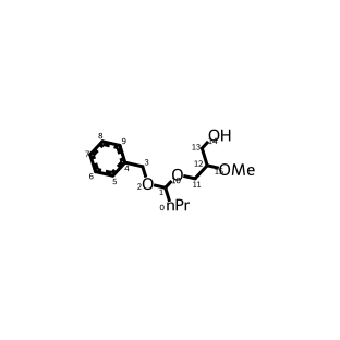 CCCC(OCc1ccccc1)OCC(CO)OC